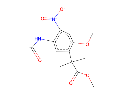 COC(=O)C(C)(C)c1cc(NC(C)=O)c([N+](=O)[O-])cc1OC